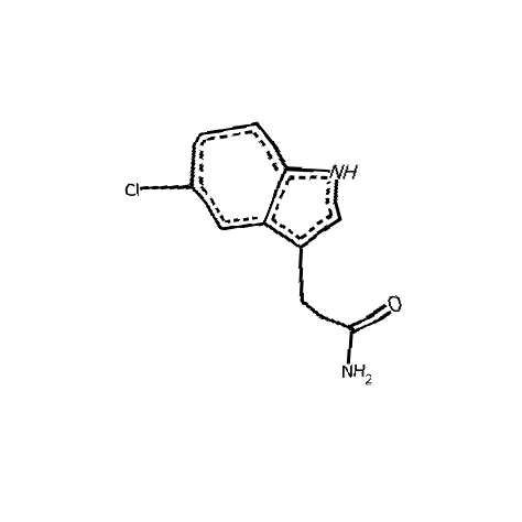 NC(=O)Cc1c[nH]c2ccc(Cl)cc12